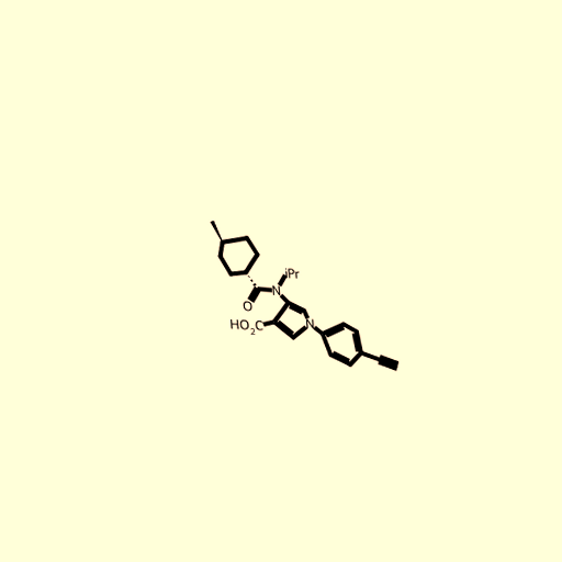 C#Cc1ccc(-n2cc(C(=O)O)c(N(C(=O)[C@H]3CC[C@H](C)CC3)C(C)C)c2)cc1